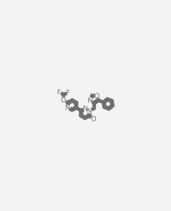 O=c1ccc(-c2ccc(OC(F)F)nc2)nn1Cc1ncoc1-c1ccccc1